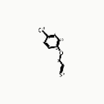 S=[C]COc1ccc(Cl)cc1